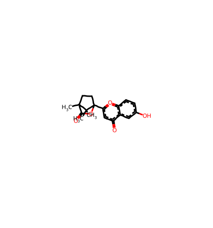 CC12CCC(c3cc(=O)c4cc(O)ccc4o3)(OC1=O)C2(C)C